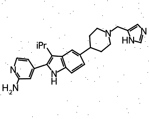 CC(C)c1c(-c2ccnc(N)c2)[nH]c2ccc(C3CCN(Cc4cnc[nH]4)CC3)cc12